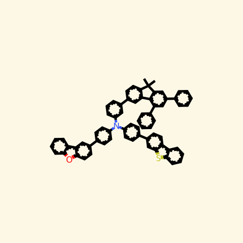 CC1(C)c2ccc(-c3cccc(N(c4ccc(-c5ccc6c(c5)sc5ccccc56)cc4)c4ccc(-c5ccc6oc7ccccc7c6c5)cc4)c3)cc2-c2c(-c3ccccc3)cc(-c3ccccc3)cc21